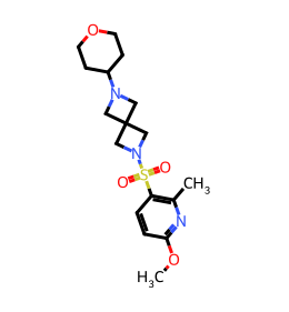 COc1ccc(S(=O)(=O)N2CC3(CN(C4CCOCC4)C3)C2)c(C)n1